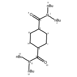 CCCCN(CCCC)C(=O)C1CCC(C(=O)N(CCCC)CCCC)CC1